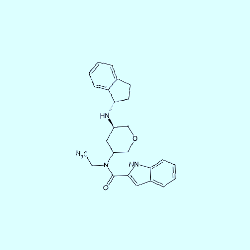 CCN(C(=O)c1cc2ccccc2[nH]1)C1COC[C@H](N[C@H]2CCc3ccccc32)C1